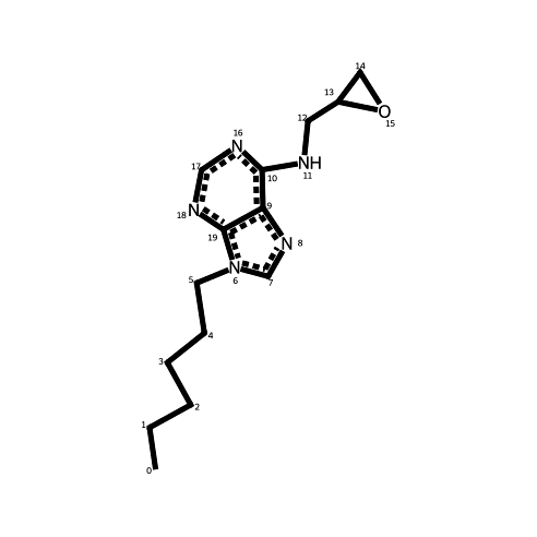 CCCCCCn1cnc2c(NCC3CO3)ncnc21